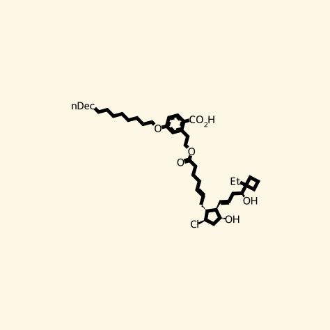 CCCCCCCCCCCCCCCCCCOc1ccc(C(=O)O)c(CCOC(=O)CCCC=CC[C@@H]2[C@@H](C=CC[C@H](O)C3(CC)CCC3)[C@H](O)C[C@H]2Cl)c1